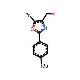 CC(C)c1oc(-c2ccc(C(C)(C)C)cc2)nc1CI